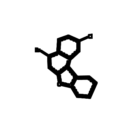 Clc1ccc2c(Br)cc3oc4ccccc4c3c2c1